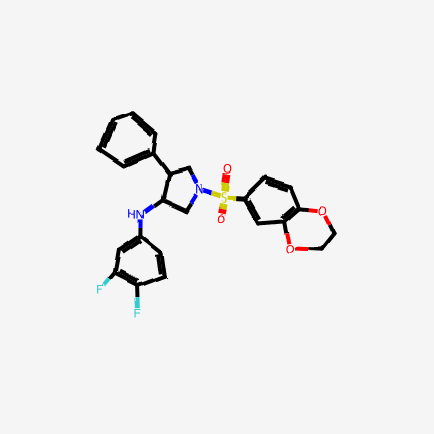 O=S(=O)(c1ccc2c(c1)OCCO2)N1CC(Nc2ccc(F)c(F)c2)C(c2ccccc2)C1